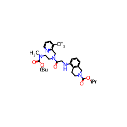 CC(C)OC(=O)N1CCc2c(cccc2NCC(=O)N(CCN(C)C(=O)OC(C)(C)C)Cc2ncccc2C(F)(F)F)C1